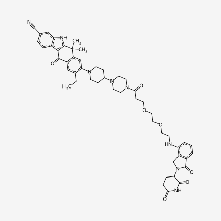 CCc1cc2c(cc1N1CCC(N3CCN(C(=O)CCOCCOCCNc4cccc5c4CN(C4CCC(=O)NC4=O)C5=O)CC3)CC1)C(C)(C)c1[nH]c3cc(C#N)ccc3c1C2=O